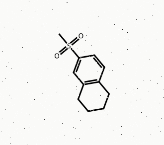 CS(=O)(=O)c1ccc2c(c1)CCCC2